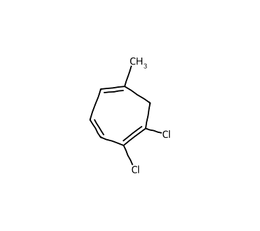 CC1=CC=CC(Cl)=C(Cl)C1